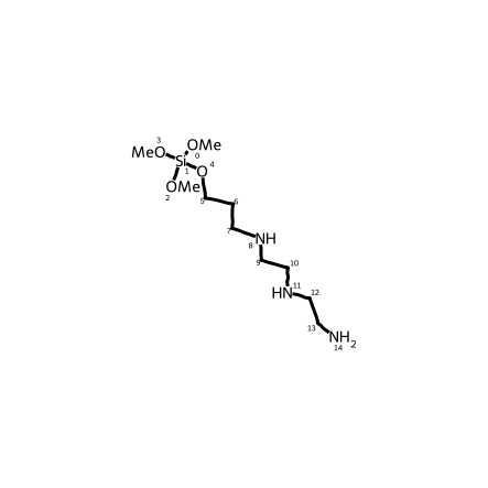 CO[Si](OC)(OC)OCCCNCCNCCN